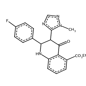 CCOC(=O)c1cccc2c1C(=O)C(c1ncnn1C)C(c1ccc(F)cc1)N2